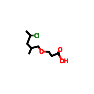 CC(Cl)CC(C)COCCC(=O)O